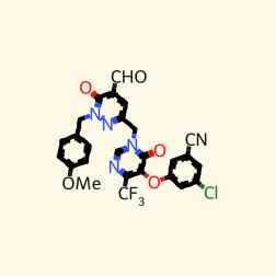 COc1ccc(Cn2nc(Cn3cnc(C(F)(F)F)c(Oc4cc(Cl)cc(C#N)c4)c3=O)cc(C=O)c2=O)cc1